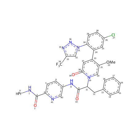 CCCNC(=O)c1ccc(NC(=O)C(Cc2ccccc2)n2cc(OC)c(-c3cc(Cl)ccc3-n3cc(C(F)(F)F)nn3)cc2=O)cn1